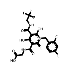 O=C(O)CNC(=O)c1c(O)c(C(=O)NCC(F)(F)F)c(O)n(Cc2ccc(Cl)cc2Cl)c1=O